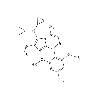 COc1cc(C)cc(OC)c1-c1ncc(C)n2c(N(C3CC3)C3CC3)c(SC)nc12